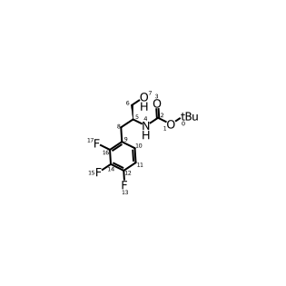 CC(C)(C)OC(=O)N[C@H](CO)Cc1ccc(F)c(F)c1F